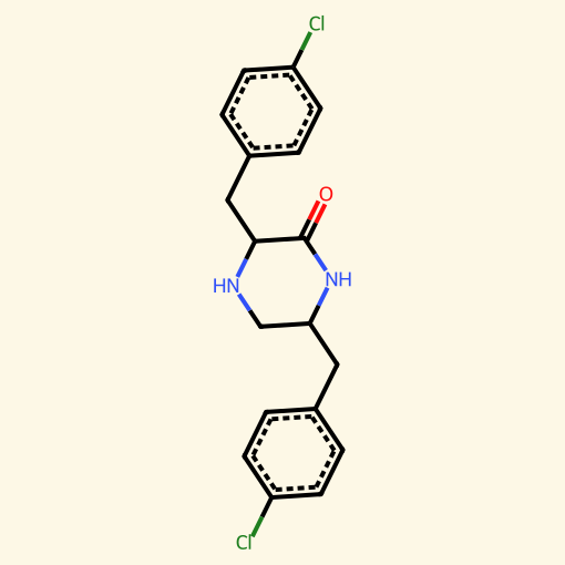 O=C1NC(Cc2ccc(Cl)cc2)CNC1Cc1ccc(Cl)cc1